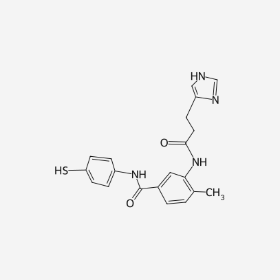 Cc1ccc(C(=O)Nc2ccc(S)cc2)cc1NC(=O)CCc1c[nH]cn1